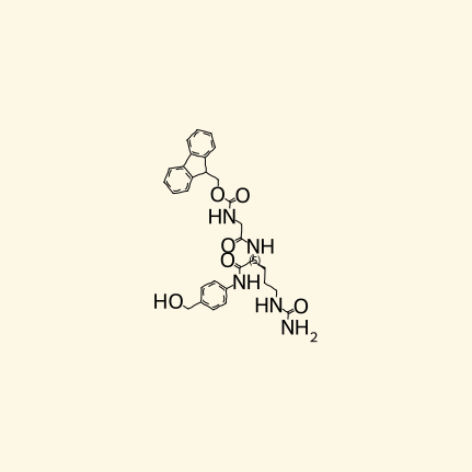 NC(=O)NCCC[C@H](NC(=O)CNC(=O)OCC1c2ccccc2-c2ccccc21)C(=O)Nc1ccc(CO)cc1